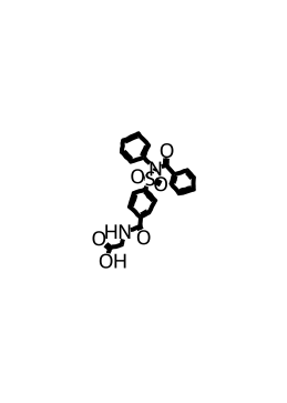 O=C(O)CNC(=O)c1ccc(S(=O)(=O)N(C(=O)c2ccccc2)c2ccccc2)cc1